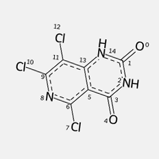 O=c1[nH]c(=O)c2c(Cl)nc(Cl)c(Cl)c2[nH]1